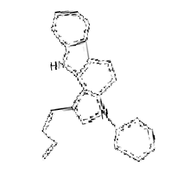 C=C/C=C\c1cn(-c2ccccc2)c2ccc3c4ccccc4[nH]c3c12